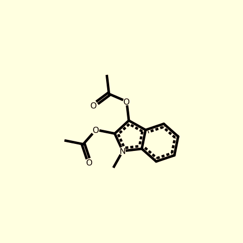 CC(=O)Oc1c(OC(C)=O)n(C)c2ccccc12